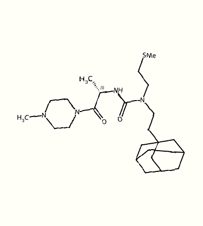 CSCCN(CCC12CC3CC(CC(C3)C1)C2)C(=O)N[C@@H](C)C(=O)N1CCN(C)CC1